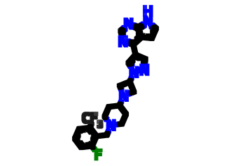 Fc1cccc(C(F)(F)F)c1CN1CCC(N2CC(n3cc(-c4ncnc5[nH]ccc45)cn3)C2)CC1